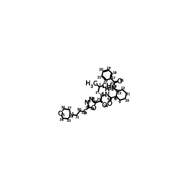 CC(C)C[C@H](NC(=O)[C@@H]1CCCC[C@@H]1NC(=O)c1ccccc1)C(=O)c1nnc(SCCN2CCOCC2)o1